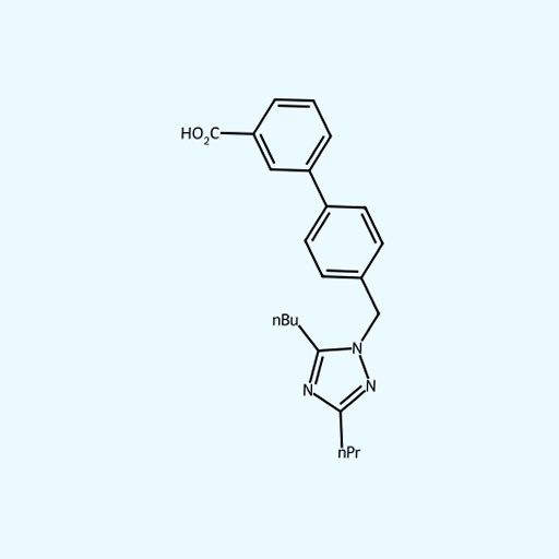 CCCCc1nc(CCC)nn1Cc1ccc(-c2cccc(C(=O)O)c2)cc1